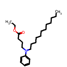 CCCCCCCCCCCCN(CCCC(=O)OCC)c1ccccc1